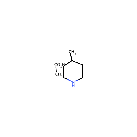 CC(=O)O.CC1CCNCC1